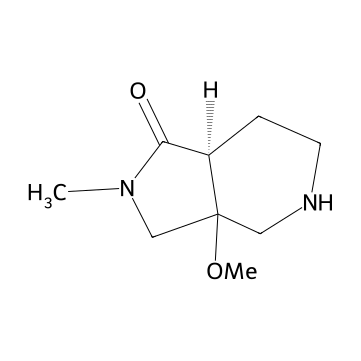 COC12CNCC[C@@H]1C(=O)N(C)C2